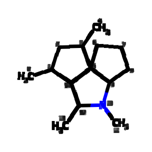 CC1CC(C)C23CCCC2N(C)C(C)C13